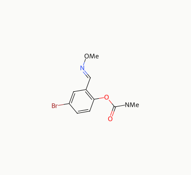 CNC(=O)Oc1ccc(Br)cc1C=NOC